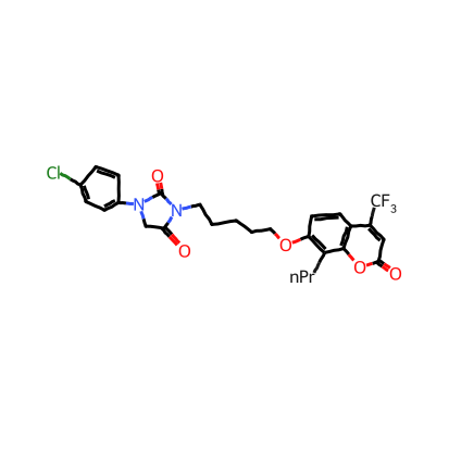 CCCc1c(OCCCCCN2C(=O)CN(c3ccc(Cl)cc3)C2=O)ccc2c(C(F)(F)F)cc(=O)oc12